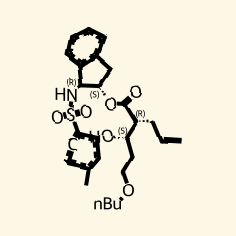 C=CC[C@@H](C(=O)O[C@H]1Cc2ccccc2[C@H]1NS(=O)(=O)c1ccc(C)cc1)[C@@H](O)CCOCCCC